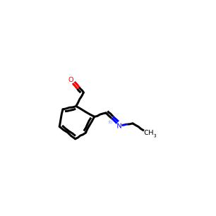 CC/N=C/c1ccccc1C=O